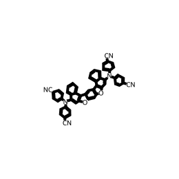 N#Cc1ccc(N(c2ccc(C#N)cc2)c2cc3oc4cc5oc6cc(N(c7ccc(C#N)cc7)c7ccc(C#N)cc7)c7ccccc7c6c5cc4c3c3ccccc23)cc1